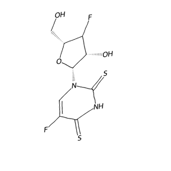 OC[C@H]1O[C@@H](n2cc(F)c(=S)[nH]c2=S)[C@@H](O)C1F